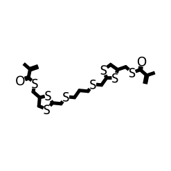 C=C(C)C(=O)SCC1CSC(CSCCCSCC2SCC(CSC(=O)C(=C)C)S2)S1